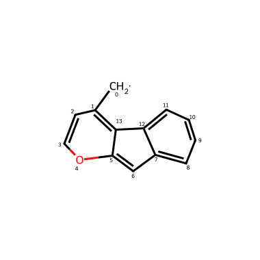 [CH2]c1ccoc2cc3ccccc3c1-2